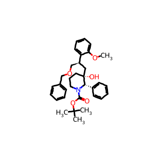 COc1ccccc1[C@H](COCc1ccccc1)C[C@]1(O)CCCN(C(=O)OC(C)(C)C)[C@H]1c1ccccc1